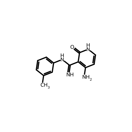 Cc1cccc(NC(=N)c2c(N)cc[nH]c2=O)c1